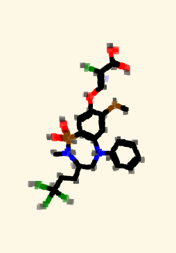 CSc1cc2c(cc1O/C=C(\F)C(=O)O)S(=O)(=O)N(C)C(CCC(F)(F)F)CN2c1ccccc1